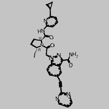 NC(=O)c1nn(CC(=O)N2[C@H](I)CC[C@H]2C(=O)Nc2cccc(C3CC3)n2)c2ccc(C#Cc3ncccn3)cc12